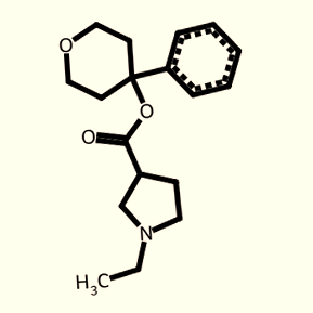 CCN1CCC(C(=O)OC2(c3ccccc3)CCOCC2)C1